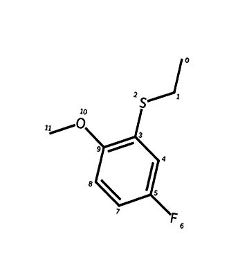 CCSc1cc(F)ccc1OC